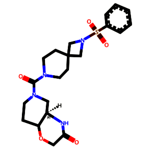 O=C1COC2CCN(C(=O)N3CCC4(CC3)CN(S(=O)(=O)c3ccccc3)C4)C[C@H]2N1